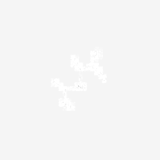 CC(I)NC(=O)C(=O)O